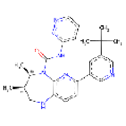 C[C@@H]1CNc2ccc(-c3cncc(C(C)(C)C)c3)nc2N(C(=O)Nc2cccnn2)[C@@H]1C